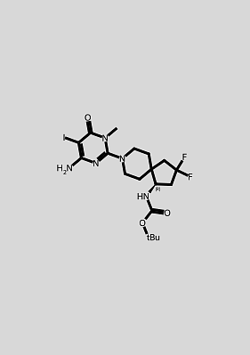 Cn1c(N2CCC3(CC2)CC(F)(F)C[C@H]3NC(=O)OC(C)(C)C)nc(N)c(I)c1=O